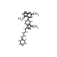 Cc1nc(N2CCc3c(c(C)nn3CCCCCN3CCOCC3)C2)c2c(C)noc2n1